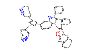 c1ccc(-c2nc3cc(-c4cc(-c5cccnc5)cc(-c5cccnc5)c4)ccc3c3c4oc5cc6ccccc6cc5c4c4ccccc4c23)cc1